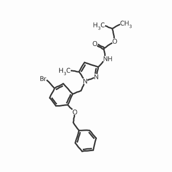 Cc1cc(NC(=O)OC(C)C)nn1Cc1cc(Br)ccc1OCc1ccccc1